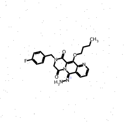 CCCCOc1c2n(/c(=N\N)c3cccnc13)C(=O)CN(Cc1ccc(F)cc1)C2=O